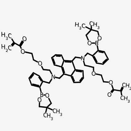 C=C(C)C(=O)OCCOCCN(Cc1ccccc1B1OCC(C)(C)CO1)Cc1c2ccccc2c(CN(CCOCCOC(=O)C(=C)C)Cc2ccccc2B2OCC(C)(C)CO2)c2ccccc12